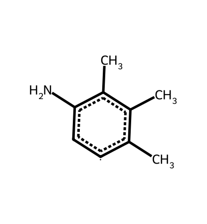 Cc1[c]cc(N)c(C)c1C